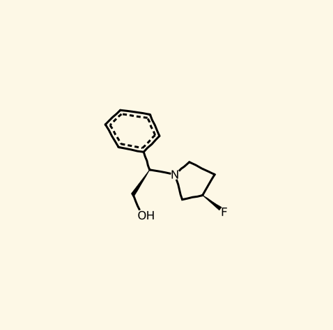 OC[C@@H](c1ccccc1)N1CC[C@@H](F)C1